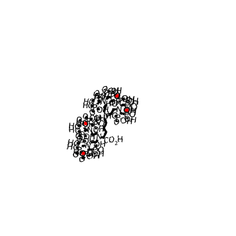 O=C(O)[C@H](CCCCN(CCN(C(P(=O)(O)O)P(=O)(O)O)C(P(=O)(O)O)P(=O)(O)O)CCN(C(P(=O)(O)O)P(=O)(O)O)C(P(=O)(O)O)P(=O)(O)O)N(CCN(C(P(=O)(O)O)P(=O)(O)O)C(P(=O)(O)O)P(=O)(O)O)CCN(C(P(=O)(O)O)P(=O)(O)O)C(P(=O)(O)O)P(=O)(O)O